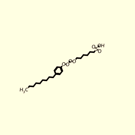 CCCCCCCCCc1ccc(OOOOCCCCCCS(=O)(=O)O)cc1